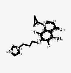 Nc1c(F)c(NCCCn2ccnc2)c(F)c2c1c(=O)ccn2C1CC1